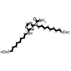 CCCCCCCCCCCCCCCCCCNc1ncnc(N(CCCCCCCCCCCCCCCCCC)C(N)=O)n1